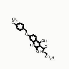 O=C(O)CNC(=O)c1c(O)c2ccc(OCc3ccc(OC(F)(F)F)cc3)cc2[nH]c1=O